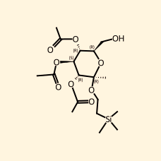 CC(=O)O[C@H]1[C@H](OC(C)=O)[C@@H](CO)O[C@@](C)(OCC[Si](C)(C)C)[C@@H]1OC(C)=O